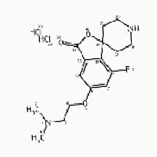 CN(C)CCOc1cc(F)c2c(c1)C(=O)OC21CCNCC1.Cl.Cl